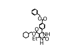 CCC1=C(C(=O)OCC2CCCCC2)C(c2ccc(C(=O)OCc3ccccc3)cc2)NC(=O)N1